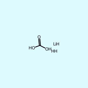 O=C(O)O.[HH].[LiH]